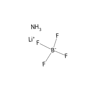 F[B-](F)(F)F.N.[Li+]